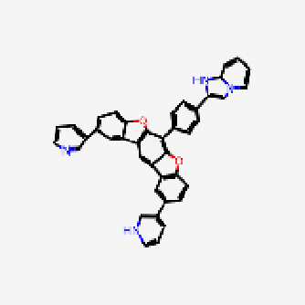 C1=CNCC(c2ccc3oc4c(-c5ccc(C6=CN7C=CC=CC7N6)cc5)c5oc6ccc(-c7cccnc7)cc6c5cc4c3c2)=C1